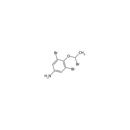 CC(Br)Oc1c(Br)cc(N)cc1Br